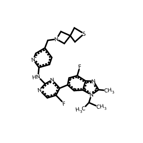 Cc1nc2c(F)cc(-c3nc(Nc4ccc(CN5CC6(CSC6)C5)cn4)ncc3F)cc2n1C(C)C